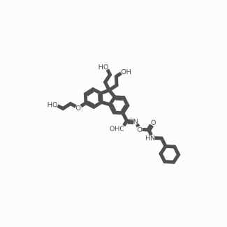 O=C/C(=N\OC(=O)NCC1CCCCC1)c1ccc2c(c1)-c1cc(OCCO)ccc1C2(CCO)CCO